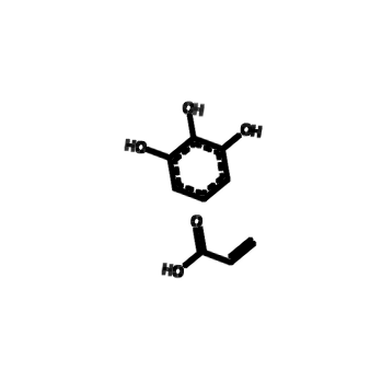 C=CC(=O)O.Oc1cccc(O)c1O